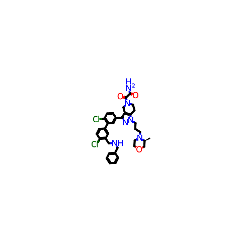 C[C@H]1COCCN1CCCn1nc(-c2ccc(Cl)c(-c3ccc(Cl)c(CNCc4ccccc4)c3)c2)c2c1CCN(C(=O)C(N)=O)C2